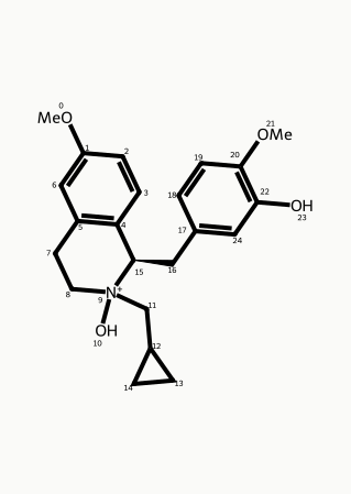 COc1ccc2c(c1)CC[N+](O)(CC1CC1)[C@@H]2Cc1ccc(OC)c(O)c1